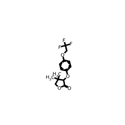 CC1(C)COC(=O)C1Oc1ccc(OCC(F)(F)F)cc1